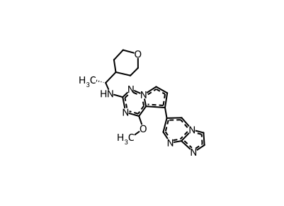 COc1nc(N[C@H](C)C2CCOCC2)nn2ccc(-c3cnc4nccn4c3)c12